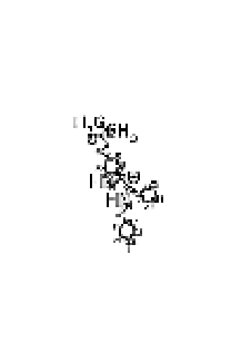 CN(C)C(=O)CCc1ccc2c(C(=O)[C@H](NCCc3ccc(F)cc3)c3ccccc3)c[nH]c2c1